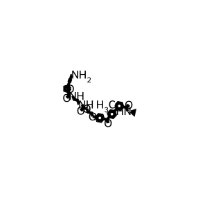 Cc1ccc(C(=O)NC2CC2)cc1-c1ccc(C(=O)c2ccc(OCCOC(=O)NCCCNC(=O)c3ccc(C#CCN)o3)cc2)cc1